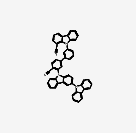 N#Cc1ccc(-c2cccc(-n3c4ccccc4c4cccc(C#N)c43)c2)cc1-n1c2ccccc2c2cc(-n3c4ccccc4c4ccccc43)ccc21